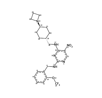 O=[N+]([O-])c1cnc(NCc2ccccc2OC(F)(F)F)nc1NC[C@H]1CC[C@H](N2C[CH]C2)CC1